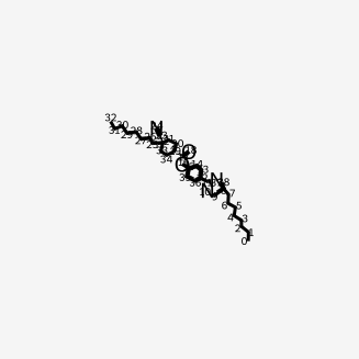 CCCCCCCCc1cnc(-c2ccc(OC(=O)[C@H]3CC[C@@](C#N)(CCCCCCCC)CC3)cc2)nc1